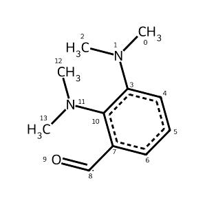 CN(C)c1cccc([C]=O)c1N(C)C